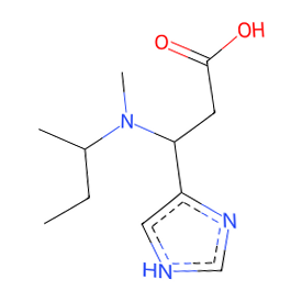 CCC(C)N(C)C(CC(=O)O)c1c[nH]cn1